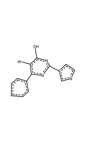 CC(C)c1c(O)nc(-n2ccnc2)nc1-c1ccccc1